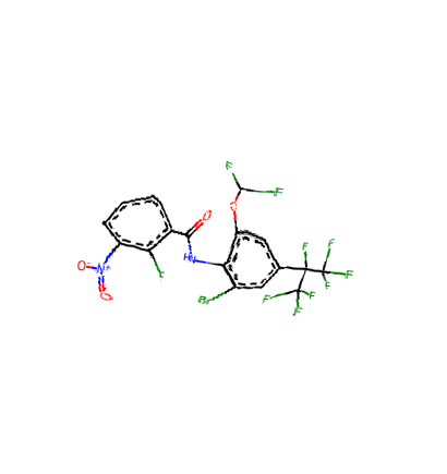 O=C(Nc1c(Br)cc(C(F)(C(F)(F)F)C(F)(F)F)cc1OC(F)F)c1cccc([N+](=O)[O-])c1F